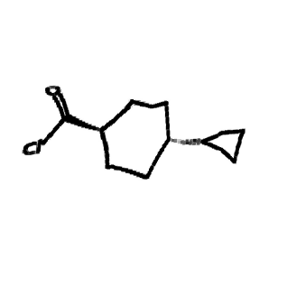 O=C(Cl)[C@H]1CC[C@H](C2CC2)CC1